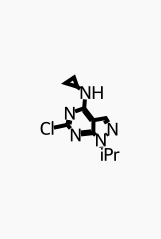 CC(C)n1ncc2c(NC3CC3)nc(Cl)nc21